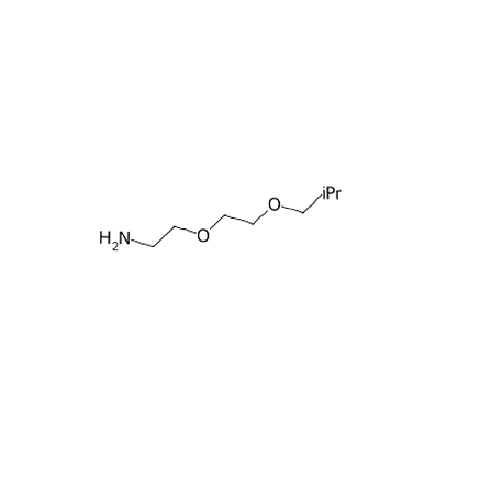 CC(C)COCCOCCN